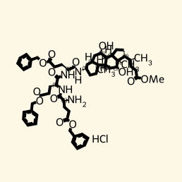 COC(=O)CC[C@@H](C)[C@H]1CC[C@H]2[C@@H]3[C@H](O)C[C@@H]4C[C@@H](NC(=O)[C@H](CCC(=O)OCc5ccccc5)NC(=O)[C@H](CCC(=O)OCc5ccccc5)NC(=O)[C@@H](N)CCC(=O)OCc5ccccc5)CC[C@]4(C)[C@H]3C[C@H](O)[C@]12C.Cl